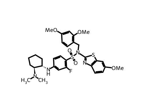 COc1ccc(CN(c2nc3ccc(OC)cc3s2)S(=O)(=O)c2ccc(N[C@H]3CCCC[C@@H]3N(C)C)cc2F)c(OC)c1